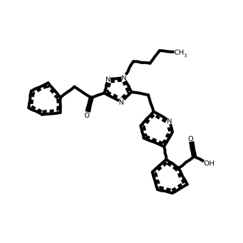 CCCCn1nc(C(=O)Cc2ccccc2)nc1Cc1ccc(-c2ccccc2C(=O)O)cn1